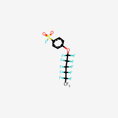 O=S(=O)(F)c1ccc(OC(F)(F)C(F)(F)C(F)(F)C(F)(F)C(F)(F)C(F)(F)F)cc1